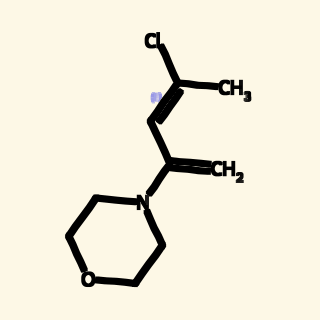 C=C(/C=C(\C)Cl)N1CCOCC1